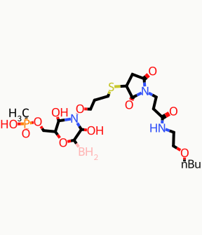 BC1OC(COP(C)(=O)O)C(O)N(OCCCSC2CC(=O)N(CCC(=O)NCCOCCCC)C2=O)C1O